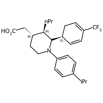 CCC[C@H]1C([C@@H]2C=CC(C(F)(F)F)=CC2)N(c2ccc(C(C)C)cc2)CC[C@@H]1CC(=O)O